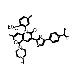 CCOc1ccc(C)cc1-n1c(C=C(C)C)c(C(=O)N2CCNCC2)cc(-c2nc(-c3ccc(C(F)F)cc3)cs2)c1=O